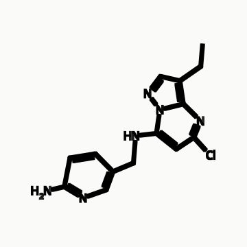 CCc1cnn2c(NCc3ccc(N)nc3)cc(Cl)nc12